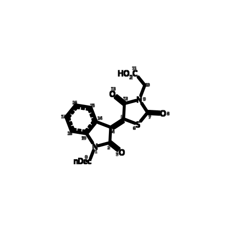 CCCCCCCCCCN1C(=O)/C(=C2\SC(=O)N(CC(=O)O)C2=O)c2ccccc21